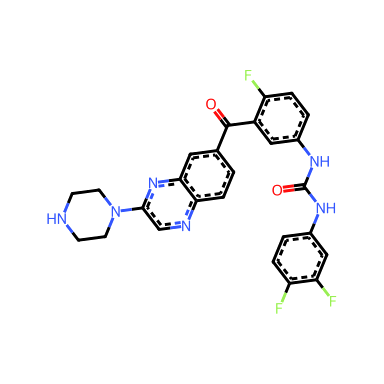 O=C(Nc1ccc(F)c(F)c1)Nc1ccc(F)c(C(=O)c2ccc3ncc(N4CCNCC4)nc3c2)c1